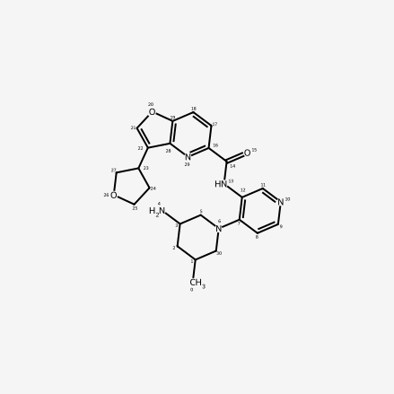 CC1CC(N)CN(c2ccncc2NC(=O)c2ccc3occ(C4CCOC4)c3n2)C1